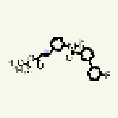 CC(C)OC(=O)/C=C/c1cccc(NC(=O)c2cc(-c3cccc(F)c3)ccc2F)c1